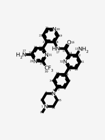 CN1CCN(c2ccc(-c3ccc(N)c(C(=O)Nc4cnccc4-c4cc(N)nc(C(F)(F)F)n4)n3)cc2)CC1